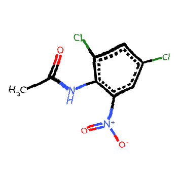 CC(=O)Nc1c(Cl)cc(Cl)cc1[N+](=O)[O-]